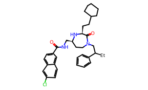 CCC(CN1CC[C@@H](CNC(=O)c2ccc3cc(Cl)ccc3c2)N[C@@H](CCC2CCCCC2)C1=O)c1ccccc1